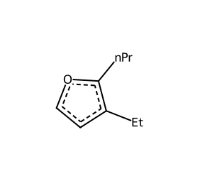 [CH2]CCc1occc1CC